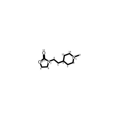 CN1CCC(CCN2CCOC2=O)CC1